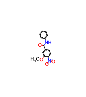 COc1cc(C(=O)Nc2ccccc2)ccc1[N+](=O)[O-]